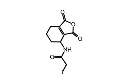 O=C(CI)NC1CCCC2=C1C(=O)OC2=O